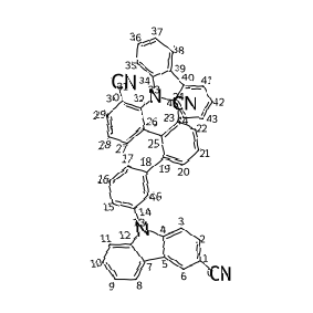 N#Cc1ccc2c(c1)c1ccccc1n2-c1cccc(-c2cccc(C#N)c2-c2cccc(C#N)c2-n2c3ccccc3c3ccccc32)c1